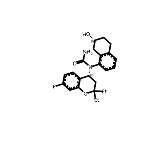 CCC1(CC)C[C@@H](N(C(N)=O)c2cccc3c2C[C@H](O)CC3)c2ccc(F)cc2O1